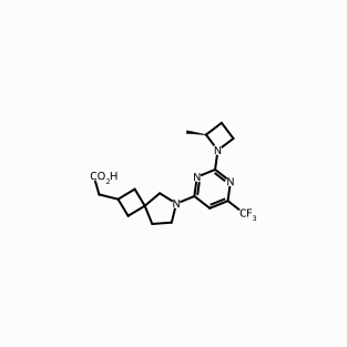 C[C@H]1CCN1c1nc(N2CCC3(CC(CC(=O)O)C3)C2)cc(C(F)(F)F)n1